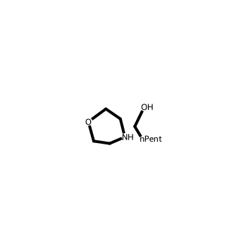 C1COCCN1.CCCCCCO